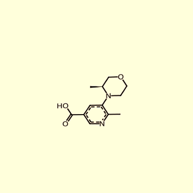 Cc1ncc(C(=O)O)cc1N1CCOC[C@@H]1C